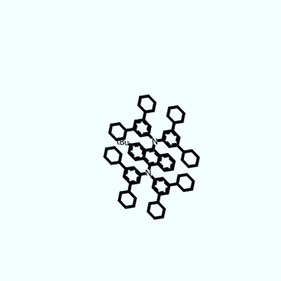 CC(C)(C)c1ccc2c(N(c3cc(C4CCCCC4)cc(C4CCCCC4)c3)c3cc(C4CCCCC4)cc(C4CCCCC4)c3)c3ccccc3c(N(c3cc(C4CCCCC4)cc(C4CCCCC4)c3)c3cc(C4CCCCC4)cc(C4CCCCC4)c3)c2c1